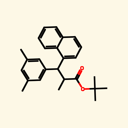 Cc1cc(C)cc(C(c2cccc3ccccc23)C(C)C(=O)OC(C)(C)C)c1